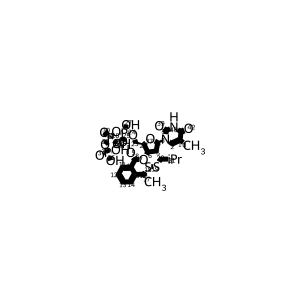 Cc1cn([C@H]2CC(OC(=O)c3ccccc3C(C)SSCC(C)C)[C@@H](COP(=O)(O)OP(=O)(O)OP(=O)(O)O)O2)c(=O)[nH]c1=O